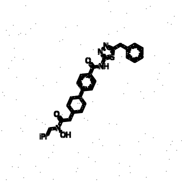 CC(C)CN(O)C(=O)CC1CCC(c2ccc(C(=O)Nc3nnc(Cc4ccccc4)s3)cc2)CC1